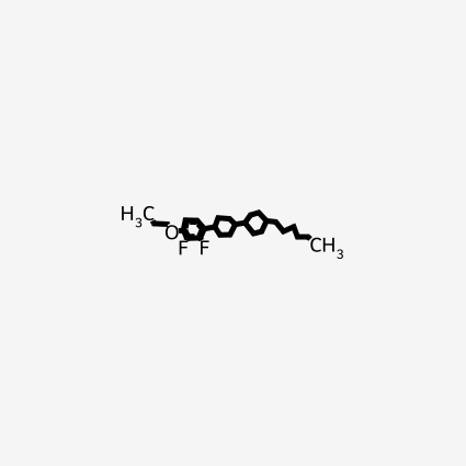 CCCCCCC1CCC(C2CCC(c3ccc(OCCC)c(F)c3F)CC2)CC1